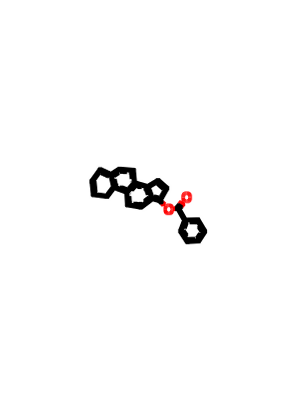 O=C(OC1=c2ccc3c4c(ccc3c2C=C1)=CC=CC4)c1ccccc1